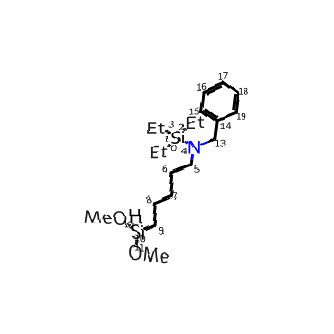 CC[Si](CC)(CC)N(CCCCC[SiH](OC)OC)Cc1ccccc1